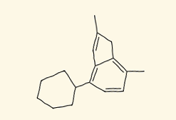 CC1=Cc2c(C3CCCCC3)ccc(C)c2C1